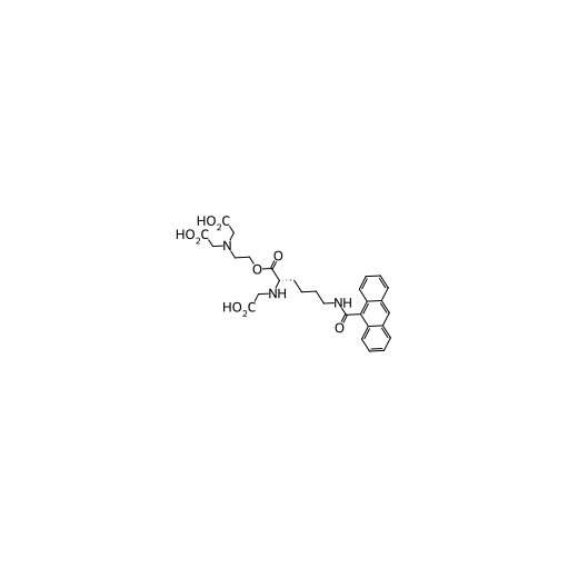 O=C(O)CN[C@@H](CCCCNC(=O)c1c2ccccc2cc2ccccc12)C(=O)OCCN(CC(=O)O)CC(=O)O